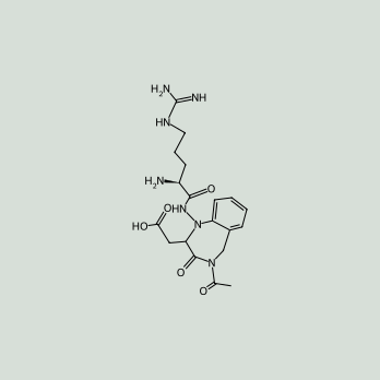 CC(=O)N1Cc2ccccc2N(NC(=O)[C@@H](N)CCCNC(=N)N)C(CC(=O)O)C1=O